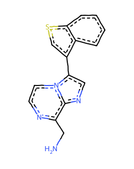 NCc1nccn2c(-c3csc4ccccc34)cnc12